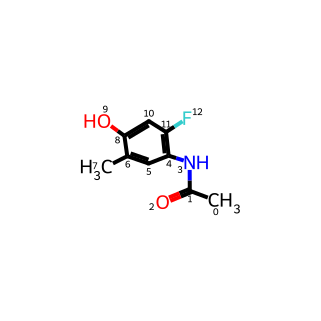 CC(=O)Nc1cc(C)c(O)cc1F